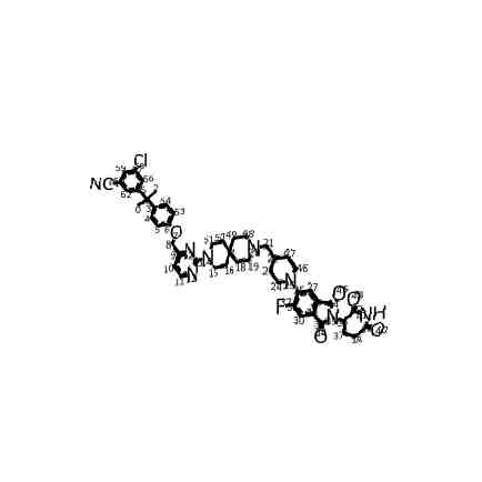 CC(C)(c1ccc(OCc2ccnc(N3CCC4(CCN(CC5CCN(c6cc7c(cc6F)C(=O)N(C6CCC(=O)NC6=O)C7=O)CC5)CC4)CC3)n2)cc1)c1cc(Cl)cc(C#N)c1